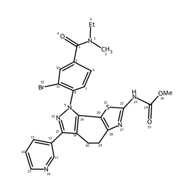 CCN(C)C(=O)c1ccc(-n2nc(-c3cccnc3)c3c2-c2sc(NC(=O)OC)nc2CC3)c(Br)c1